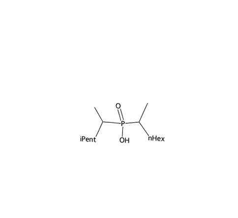 CCCCCCC(C)P(=O)(O)C(C)C(C)CCC